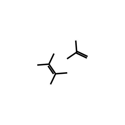 C=C(C)C.CC(C)=C(C)C